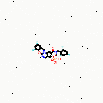 CN1Cc2ccc(C(=O)N(COP(=O)(O)O)Cc3c(F)cc(F)cc3F)cc2N(Cc2cc(F)cc(F)c2)C1=O